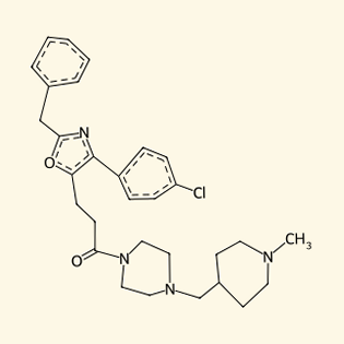 CN1CCC(CN2CCN(C(=O)CCc3oc(Cc4ccccc4)nc3-c3ccc(Cl)cc3)CC2)CC1